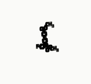 CCOC(=O)N1CCC(N2CCC3(CC2)CN(C(=O)OC)c2ccc(F)cc23)CC1